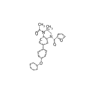 CC(=O)N1c2ccc(-c3ccc(Oc4ccccc4)cc3)cc2N(C(=O)c2ccco2)C[C@@H]1C